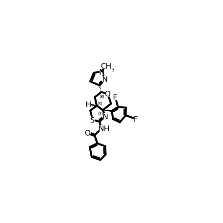 Cn1ccc([C@H]2C[C@H]3CSC(NC(=O)c4ccccc4)=N[C@@]3(c3ccc(F)cc3F)CO2)n1